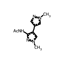 CC(=O)Nc1nn(C)cc1-c1cnn(C)c1